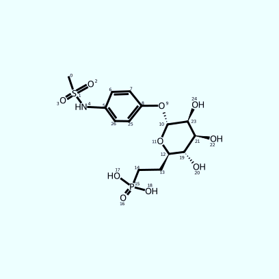 CS(=O)(=O)Nc1ccc(O[C@H]2O[C@H](CCP(=O)(O)O)[C@@H](O)[C@H](O)[C@@H]2O)cc1